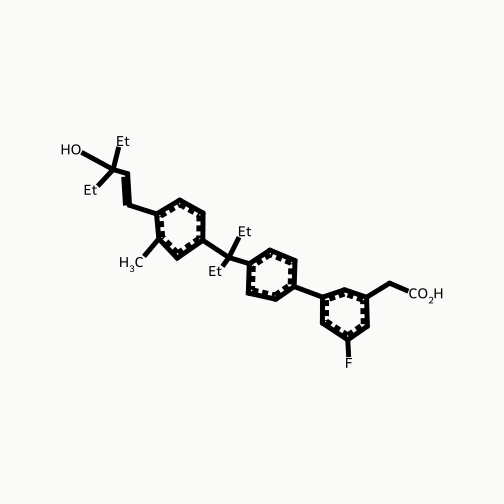 CCC(O)(C=Cc1ccc(C(CC)(CC)c2ccc(-c3cc(F)cc(CC(=O)O)c3)cc2)cc1C)CC